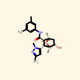 Cc1cc(NC(=O)[C@@H]2[C@@H](c3cc(C(F)(F)F)nn3C)[C@H]3O[C@@H]2C[C@@H]3O)cc(C(F)(F)F)c1